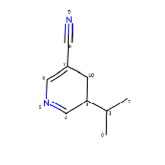 CC(C)C1C=NC=C(C#N)C1